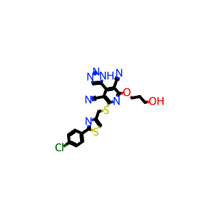 N#Cc1c(OCCCO)nc(SCc2csc(-c3ccc(Cl)cc3)n2)c(C#N)c1-c1cnn[nH]1